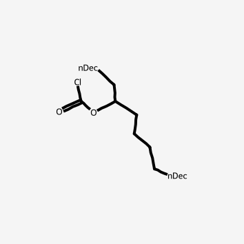 CCCCCCCCCCCCCCC(CCCCCCCCCCC)OC(=O)Cl